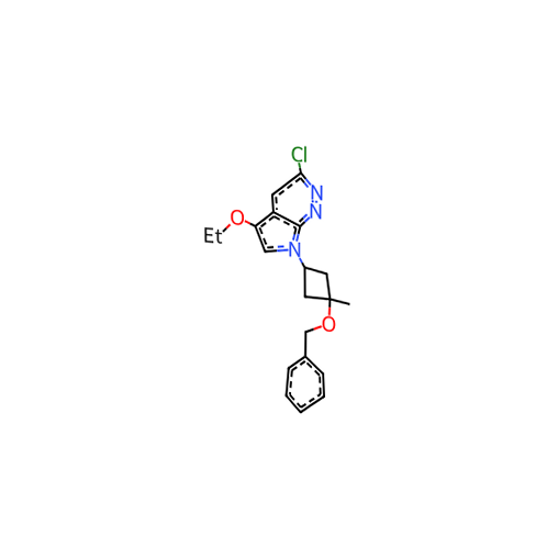 CCOc1cn(C2CC(C)(OCc3ccccc3)C2)c2nnc(Cl)cc12